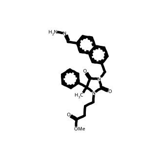 COC(=O)CCCN1C(=O)N(Cc2ccc3ccc(C=NN)cc3c2)C(=O)C1(C)c1ccccc1